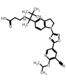 CC(C)Oc1ncc(-c2nc(N3CCc4cc(C(C)(NCCC(=O)O)C(C)(C)C)ccc43)no2)cc1C#N